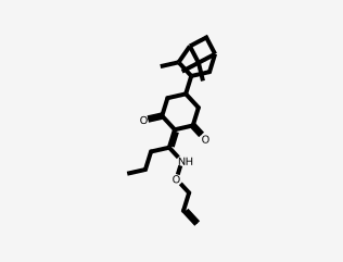 C=CCONC(CCC)=C1C(=O)CC(C2CC3CC(C2C)C3(C)C)CC1=O